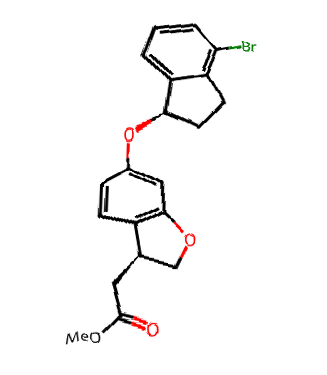 COC(=O)C[C@@H]1COc2cc(O[C@@H]3CCc4c(Br)cccc43)ccc21